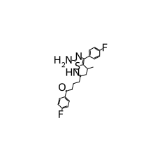 CC(CC(=N)CCCC(=O)c1ccc(F)cc1)c1sc(N)nc1-c1ccc(F)cc1